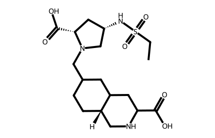 CCS(=O)(=O)N[C@H]1C[C@@H](C(=O)O)N(CC2CC[C@H]3CNC(C(=O)O)CC3C2)C1